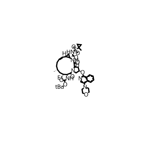 CC[C@@H]1C[C@H](C)CC/C=C\[C@@H]2C[C@@]2(C(=O)NS(=O)(=O)C2(C)CC2)NC(=O)[C@@H]2C[C@@H](Oc3ncc(N4CCOCC4)c4ccccc34)CN2C(=O)[C@H]1NC(=O)OC(C)(C)C